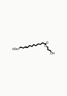 CCCCCCCCCCCCC=CCCCCCCCC(=O)OCCCO